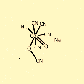 N#C[O][Co-](=[O])([C]#N)([C]#N)([C]#N)([C]#N)[C]#N.[Na+]